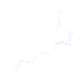 C=CCSSc1nnc(S)s1